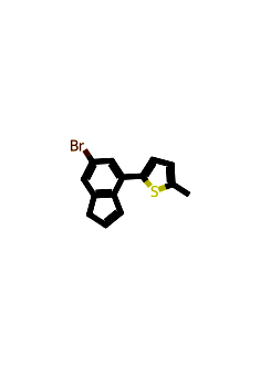 Cc1ccc(-c2cc(Br)cc3c2C=CC3)s1